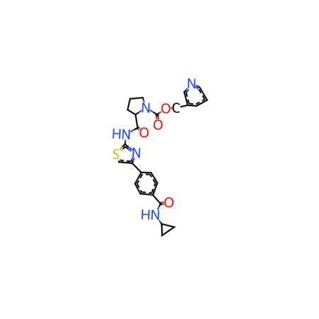 O=C(NC1CC1)c1ccc(-c2csc(NC(=O)C3CCCN3C(=O)OCc3cccnc3)n2)cc1